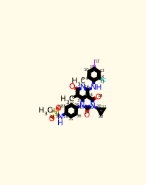 Cc1c(=O)n(C)c(Nc2ccc(I)cc2F)c2c(=O)n(C3CC3)c(=O)n(-c3ccc(NS(C)(=O)=O)cc3)c12